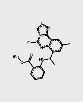 Cc1cc(C(C)Nc2ccccc2C(=O)OC(C)(C)C)c2nc(Cl)n3cnnc3c2c1